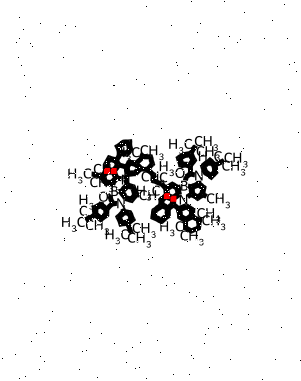 Cc1cc2c3c(c1)N(c1ccc(C(C)(C)C)cc1)C1c4ccc(C(C)(C)C)cc4OC1B3c1cc(C(C)(C)C)ccc1N2c1cc2c(cc1-c1ccccc1-c1ccccc1)C(C)(C)CCC2(C)CCC(C)(C)c1ccc2c(c1)B1c3c(cc(C)cc3N(c3ccc(C(C)(C)C)cc3)C3c4cc(C(C)(C)C)ccc4OC13)N2c1cc2c(cc1-c1cccc3ccccc13)C(C)(C)CCC2(C)C